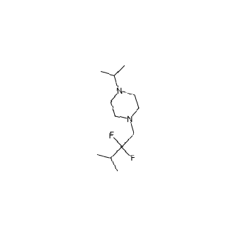 CC(C)N1CCN(CC(F)(F)C(C)C)CC1